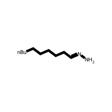 CCCCCCCCCC=NN